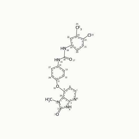 Cn1c(=O)[nH]c2nccc(Oc3ccc(NC(=O)Nc4ccc(Cl)c(C(F)(F)F)c4)cc3)c21